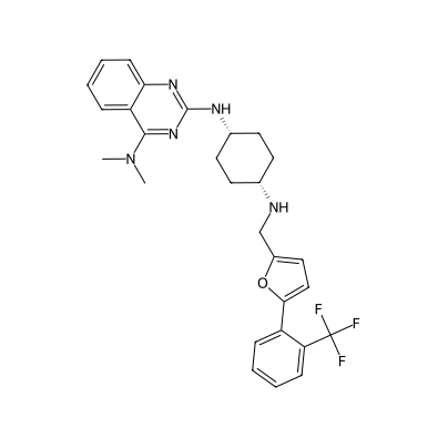 CN(C)c1nc(N[C@H]2CC[C@@H](NCc3ccc(-c4ccccc4C(F)(F)F)o3)CC2)nc2ccccc12